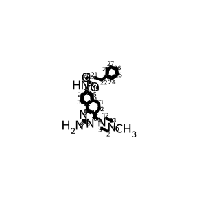 CN1CCN(c2nc(N)nc3c2CCc2cc(NS(=O)(=O)CCc4ccccc4)ccc2-3)CC1